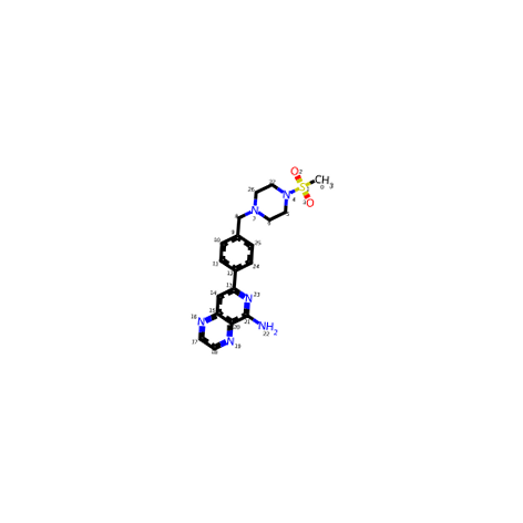 CS(=O)(=O)N1CCN(Cc2ccc(-c3cc4nccnc4c(N)n3)cc2)CC1